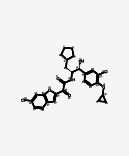 O=C(N[C@H](CN1CCCC1)[C@H](O)c1ccc(OC2CC2)c(Cl)c1)C(=O)c1cc2ccc(Cl)cc2o1